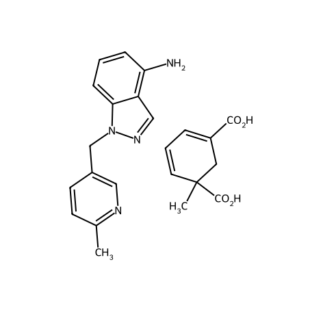 CC1(C(=O)O)C=CC=C(C(=O)O)C1.Cc1ccc(Cn2ncc3c(N)cccc32)cn1